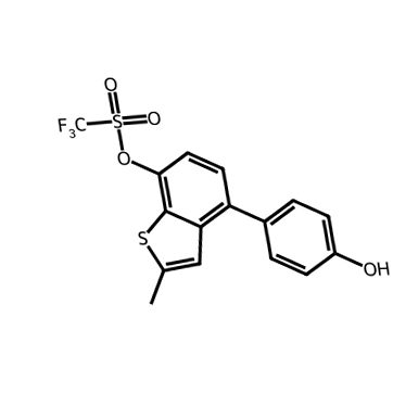 Cc1cc2c(-c3ccc(O)cc3)ccc(OS(=O)(=O)C(F)(F)F)c2s1